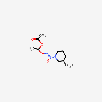 COC(=O)OC(C)O/N=[N+](\[O-])N1CCCC(C(=O)O)C1